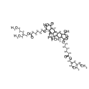 CCCCC(CC)COC(=O)CCCCCOC(=O)c1cc(C(C)(c2ccc(C(=O)O)c(C(=O)OCCCCCC(=O)OCC(CC)CCCC)c2)C(F)(F)F)ccc1C(=O)O